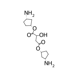 N[C@H]1CC[C@@H](OC(=O)CC(O)C(=O)O[C@@H]2CC[C@H](N)C2)C1